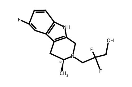 C[C@H]1Cc2c([nH]c3ccc(F)cc23)CN1CC(F)(F)CO